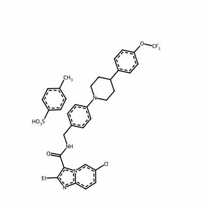 CCc1nc2ccc(Cl)cn2c1C(=O)NCc1ccc(N2CCC(c3ccc(OC(F)(F)F)cc3)CC2)cc1.Cc1ccc(S(=O)(=O)O)cc1